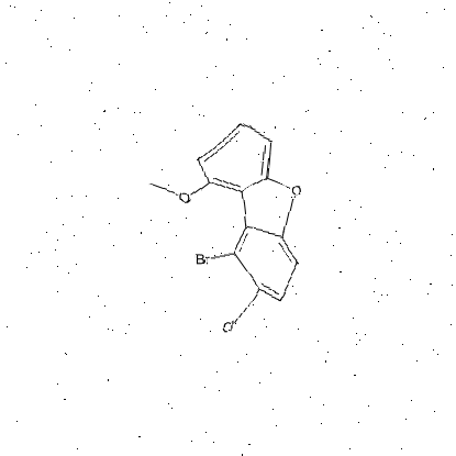 COc1cccc2oc3ccc(Cl)c(Br)c3c12